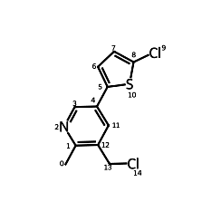 Cc1ncc(-c2ccc(Cl)s2)cc1CCl